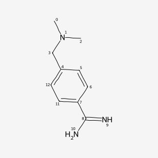 CN(C)Cc1ccc(C(=N)N)cc1